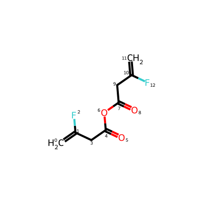 C=C(F)CC(=O)OC(=O)CC(=C)F